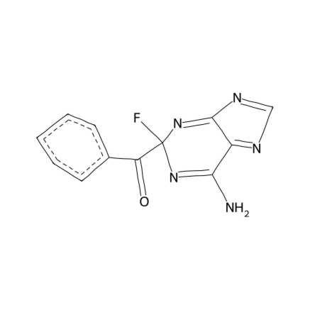 NC1=NC(F)(C(=O)c2ccccc2)N=C2N=CN=C12